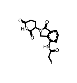 O=C1CCC(N2Cc3c(NC(=O)CI)cccc3C2=O)C(=O)N1